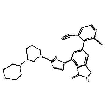 N#Cc1cccc(F)c1-c1cc(-n2ccc(N3CCC[C@H](N4CCOCC4)C3)n2)c2c(n1)CNC2=O